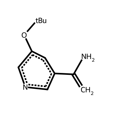 C=C(N)c1cncc(OC(C)(C)C)c1